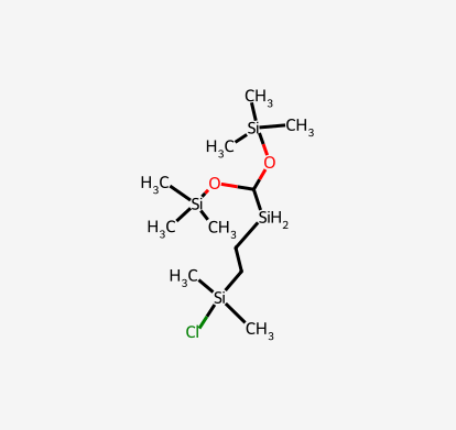 C[Si](C)(Cl)CC[SiH2]C(O[Si](C)(C)C)O[Si](C)(C)C